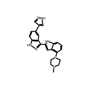 CN1CCN(c2cccc3[nH]c(-c4n[nH]c5ccc(-c6cn[nH]c6)cc45)cc23)CC1